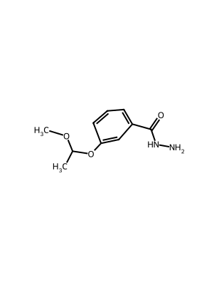 COC(C)Oc1cccc(C(=O)NN)c1